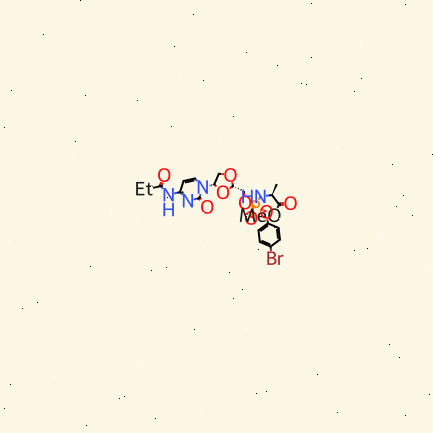 CCC(=O)Nc1ccn([C@@H]2CO[C@H](COP(=O)(N[C@@H](C)C(=O)OC)Oc3ccc(Br)cc3)O2)c(=O)n1